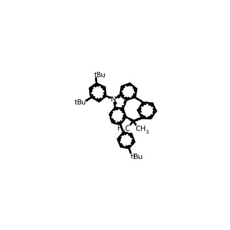 CC(C)(C)c1ccc(-c2ccc3c4c2C(C)(C)c2cccc(c2)-c2cccc(c24)n3-c2cc(C(C)(C)C)cc(C(C)(C)C)c2)cc1